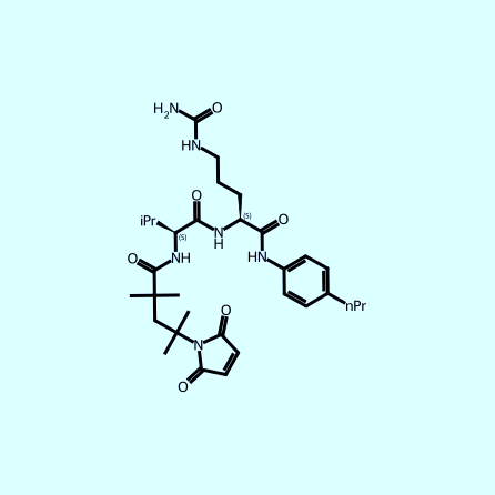 CCCc1ccc(NC(=O)[C@H](CCCNC(N)=O)NC(=O)[C@@H](NC(=O)C(C)(C)CC(C)(C)N2C(=O)C=CC2=O)C(C)C)cc1